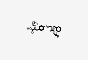 CCOC(Cc1ccc(OCCN(CC2CCCCC2)C(=O)NCC(F)(F)F)cc1)C(=O)O